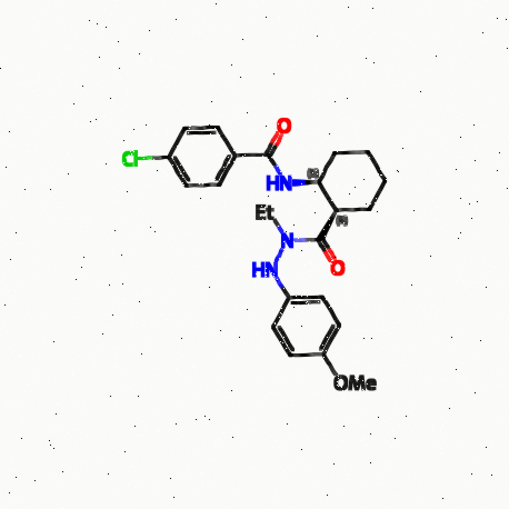 CCN(Nc1ccc(OC)cc1)C(=O)[C@@H]1CCCC[C@@H]1NC(=O)c1ccc(Cl)cc1